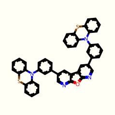 c1cc(-c2cnc3oc4ncc(-c5cccc(N6c7ccccc7Sc7ccccc76)c5)cc4c3c2)cc(N2c3ccccc3Sc3ccccc32)c1